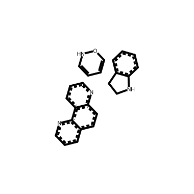 C1=CNOC=C1.c1ccc2c(c1)CCN2.c1cnc2c(c1)ccc1ncccc12